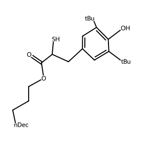 CCCCCCCCCCCCCOC(=O)C(S)Cc1cc(C(C)(C)C)c(O)c(C(C)(C)C)c1